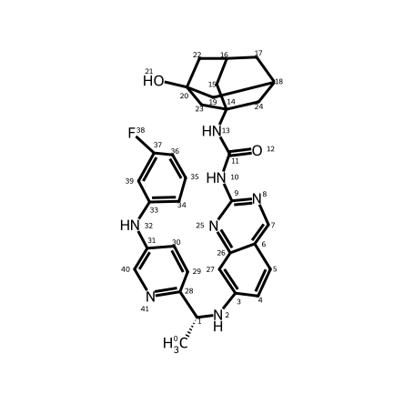 C[C@@H](Nc1ccc2cnc(NC(=O)NC34CC5CC(CC(O)(C5)C3)C4)nc2c1)c1ccc(Nc2cccc(F)c2)cn1